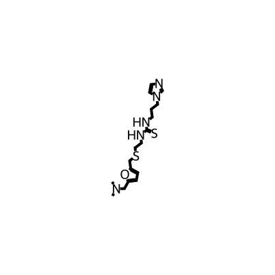 CN(C)Cc1ccc(CSCCNC(=S)NCCCn2ccnc2)o1